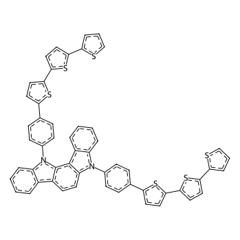 c1csc(-c2ccc(-c3ccc(-c4ccc(-n5c6ccccc6c6c5ccc5c7ccccc7n(-c7ccc(-c8ccc(-c9ccc(-c%10cccs%10)s9)s8)cc7)c56)cc4)s3)s2)c1